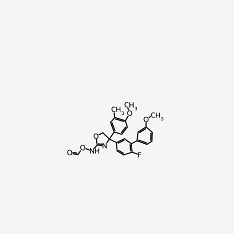 COc1cccc(-c2cc(C3(c4ccc(OC)c(C)c4)COC(NOC=O)=N3)ccc2F)c1